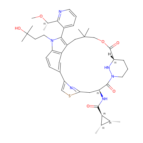 CO[C@@H](C)c1ncccc1-c1c2c3cc(ccc3n1CCC(C)(C)O)-c1csc(n1)C[C@H](NC(=O)[C@H]1[C@H](C)[C@@H]1C)C(=O)N1CCC[C@H](N1)C(=O)OCC(C)(C)C2